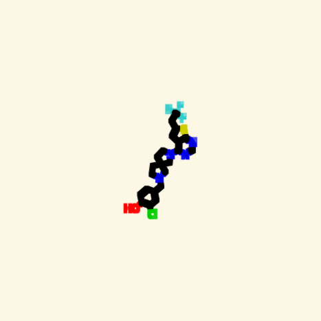 Oc1ccc(CN2CCC3(CCN(c4ncnc5sc(CC(F)(F)F)cc45)C3)C2)cc1Cl